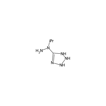 CC(C)N(N)C1=NNNN1